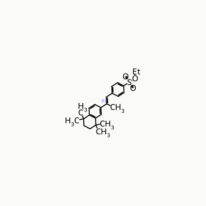 CCOS(=O)(=O)c1ccc(/C=C(\C)c2ccc3c(c2)C(C)(C)CCC3(C)C)cc1